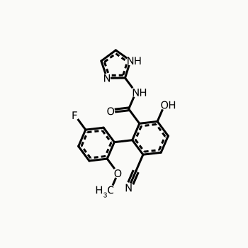 COc1ccc(F)cc1-c1c(C#N)ccc(O)c1C(=O)Nc1ncc[nH]1